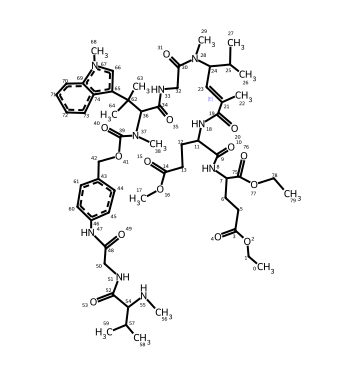 CCOC(=O)CCC(NC(=O)C(CCC(=O)OC)NC(=O)/C(C)=C/C(C(C)C)N(C)C(=O)CNC(=O)C(N(C)C(=O)OCc1ccc(NC(=O)CNC(=O)C(NC)C(C)C)cc1)C(C)(C)c1cn(C)c2ccccc12)C(=O)OCC